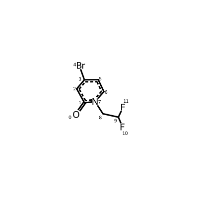 O=c1cc(Br)ccn1CC(F)F